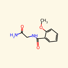 COc1ccccc1C(=O)NCC(N)=O